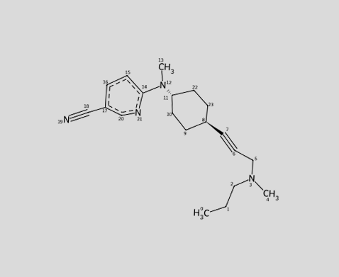 CCCN(C)CC#C[C@H]1CC[C@H](N(C)c2ccc(C#N)cn2)CC1